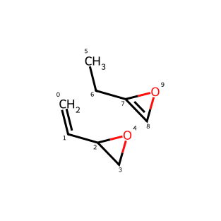 C=CC1CO1.CCC1=CO1